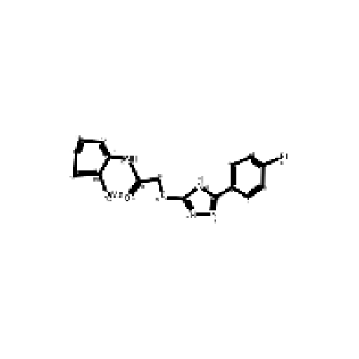 CCc1ccc(-c2nnc(SCC(=O)Nc3ccccc3OC)[nH]2)cc1